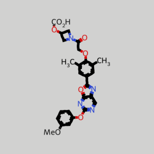 COc1cccc(Oc2ncc3nc(-c4cc(C)c(OCC(=O)N5CC(OC(=O)O)C5)c(C)c4)oc3n2)c1